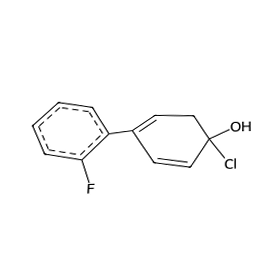 OC1(Cl)C=CC(c2ccccc2F)=CC1